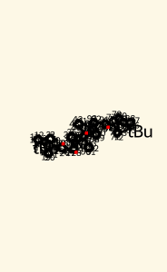 Cc1ccc2c(oc3c(C(C)(C)C)cccc32)c1N(c1ccccc1)c1ccc(-c2cccc3c2c2cccc4c5c(-c6ccccc6)c6c(c(-c7ccccc7)c5n3c24)c2cccc3c4c(-c5ccc(N(c7ccccc7)c7c(C)ccc8c7oc7c(C(C)(C)C)cccc78)cc5)cccc4n6c32)cc1